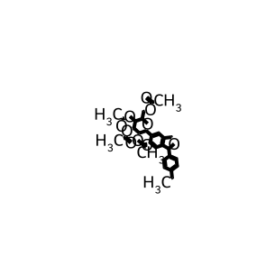 CCc1ccc(C2OCc3cc(C4OC(COC(C)=O)C(OC(C)=O)C(OC(C)=O)C4OC(C)=O)ccc32)cc1